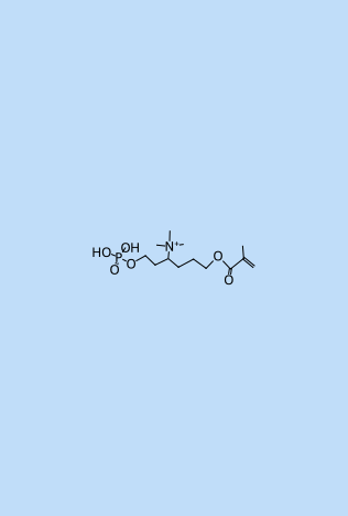 C=C(C)C(=O)OCCCC(CCOP(=O)(O)O)[N+](C)(C)C